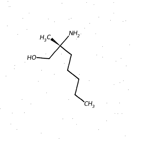 CCCCC[C@@](C)(N)CO